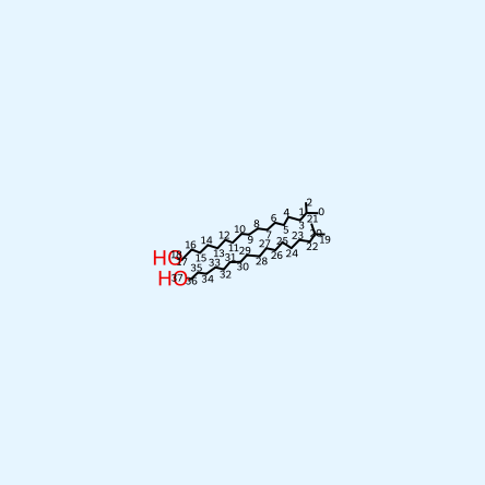 CC(C)CCCCCCCCCCCCCCCO.CC(C)CCCCCCCCCCCCCCCO